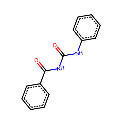 O=C(NC(=O)c1ccccc1)Nc1c[c]ccc1